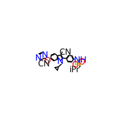 CC(C)CS(=O)(=O)Nc1ccc(-c2c(C#N)c3ccc(Oc4nccnc4C#N)cc3n2CC2CC2)cc1